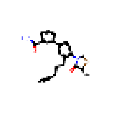 CC#CCCCc1cc(-c2cccc(C(N)=O)c2)ccc1N1CSC(OC(C)=O)C1=O